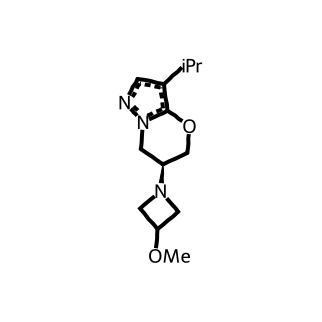 COC1CN([C@@H]2COc3c(C(C)C)cnn3C2)C1